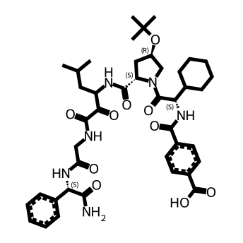 CC(C)CC(NC(=O)[C@@H]1C[C@@H](OC(C)(C)C)CN1C(=O)[C@@H](NC(=O)c1ccc(C(=O)O)cc1)C1CCCCC1)C(=O)C(=O)NCC(=O)N[C@H](C(N)=O)c1ccccc1